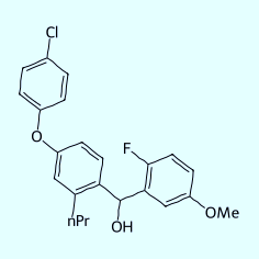 CCCc1cc(Oc2ccc(Cl)cc2)ccc1C(O)c1cc(OC)ccc1F